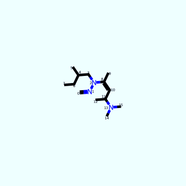 C=NN(CC(C)CC)/C(C)=C\C(C)N(C)C